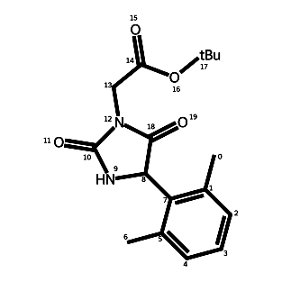 Cc1cccc(C)c1C1NC(=O)N(CC(=O)OC(C)(C)C)C1=O